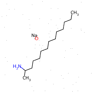 CCCCCCCCCCCCC(C)N.[Na].[O]